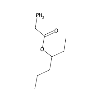 CCCC(CC)OC(=O)CP